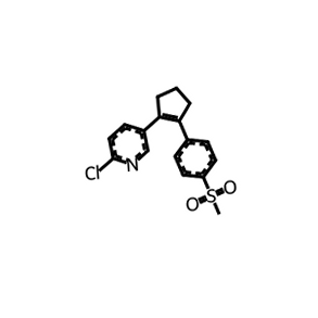 CS(=O)(=O)c1ccc(C2=C(c3ccc(Cl)nc3)CCC2)cc1